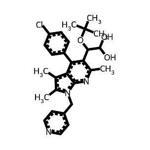 Cc1nc2c(c(C)c(C)n2Cc2ccncc2)c(-c2ccc(Cl)cc2)c1C(OC(C)(C)C)C(O)O